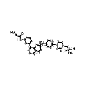 C=CC(=O)Nc1cccc(-c2cccc3cnc(Nc4ccc(N5CCN(CC(C)(C)O)CC5)nc4)nc23)c1